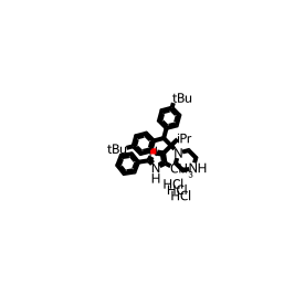 Cc1[nH]c(-c2ccccc2)nc1C(C(C)C)(C(c1ccc(C(C)(C)C)cc1)c1ccc(C(C)(C)C)cc1)N1CCNCC1.Cl.Cl.Cl